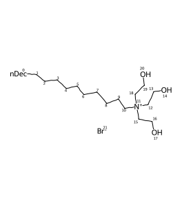 CCCCCCCCCCCCCCCCCCCC[N+](CCO)(CCO)CCO.[Br-]